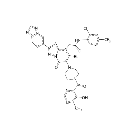 CCc1c(N2CCN(C(=O)c3ncnc(C)c3O)CC2)c(=O)n2nc(-c3ccc4ncnn4c3)nc2n1CC(=O)Nc1ccc(C(F)(F)F)cc1Cl